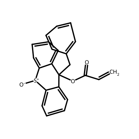 C=CC(=O)OC1(Cc2ccccc2)c2ccccc2[S+]([O-])c2ccccc21